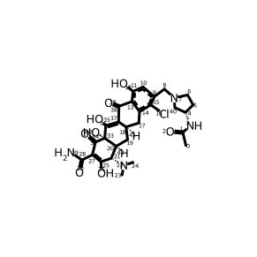 CC(=O)N[C@H]1CCN(Cc2cc(O)c3c(c2Cl)C[C@H]2C[C@H]4[C@H](N(C)C)C(O)=C(C(N)=O)C(=O)[C@@]4(O)C(O)=C2C3=O)C1